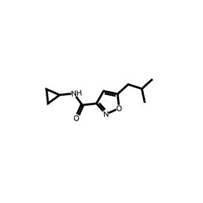 CC(C)Cc1cc(C(=O)NC2CC2)no1